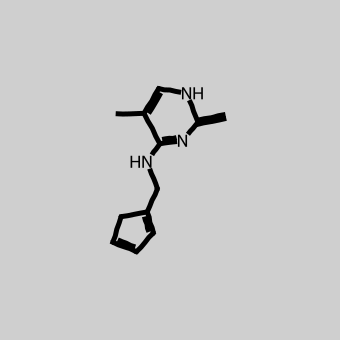 C=C1N=C(NCC2=CC=CC2)C(C)=CN1